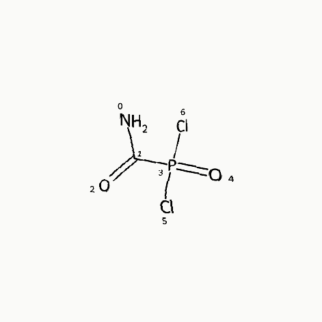 NC(=O)P(=O)(Cl)Cl